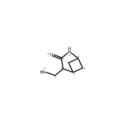 CC(C)(C)CC1C(=O)NC2CC1C2